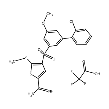 COc1cc(-c2ccccc2Cl)cc(S(=O)(=O)c2cc(C(=N)N)sc2SC)c1.O=C(O)C(F)(F)F